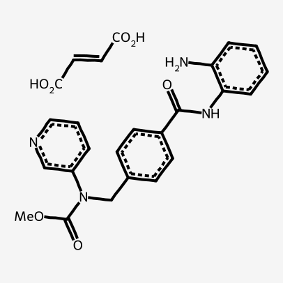 COC(=O)N(Cc1ccc(C(=O)Nc2ccccc2N)cc1)c1cccnc1.O=C(O)C=CC(=O)O